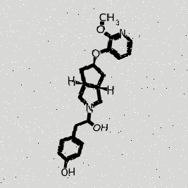 COc1ncccc1O[C@H]1C[C@@H]2CN(C(O)Cc3ccc(O)cc3)C[C@@H]2C1